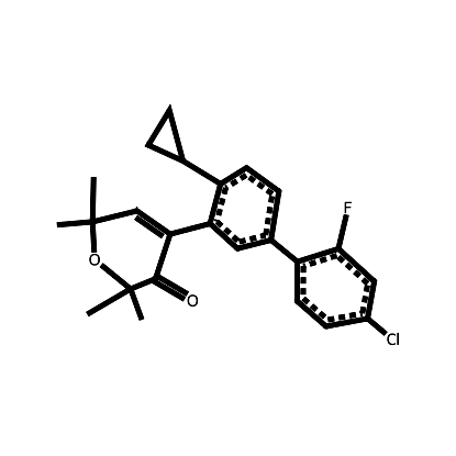 CC1(C)[C]=C(c2cc(-c3ccc(Cl)cc3F)ccc2C2CC2)C(=O)C(C)(C)O1